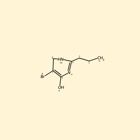 CCCC1=NC(O)=C(Br)[CH]N1